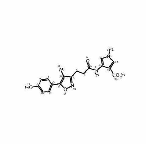 CCn1cc(NC(=O)CCc2noc(-c3ccc(O)cc3)c2C(C)=O)c(C(=O)O)c1